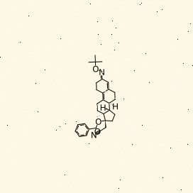 CC(C)(C)O/N=C1/C=C2CC[C@@H]3C(=C2CC1)CC[C@@]1(C)[C@H]3CC[C@]1(CC#N)OC(=O)c1ccccc1